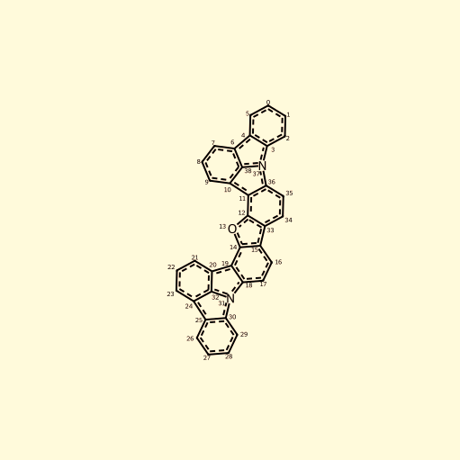 c1ccc2c(c1)c1cccc3c4c5oc6c(ccc7c6c6cccc8c9ccccc9n7c86)c5ccc4n2c13